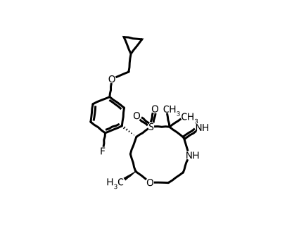 C[C@H]1C[C@H](c2cc(OCC3CC3)ccc2F)S(=O)(=O)C(C)(C)C(=N)NCCO1